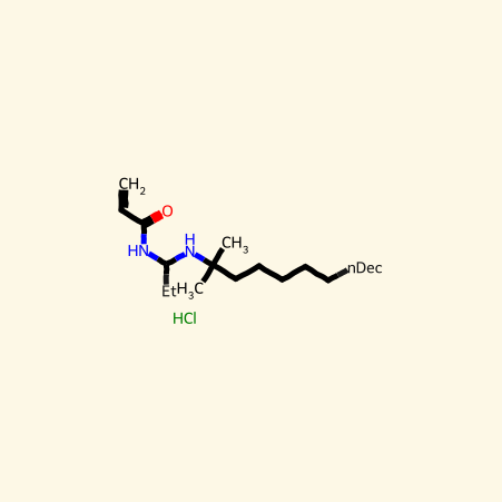 C=CC(=O)NC(CC)NC(C)(C)CCCCCCCCCCCCCCC.Cl